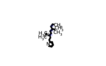 C\C=C/C(=C/C=C(/CCc1ccccn1)N(C)C)C(C)C